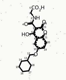 O=C(O)CNC(=O)c1c(O)c2cc(OCC3CCCCC3)ccc2oc1=O